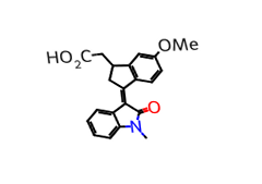 COc1ccc2c(c1)C(CC(=O)O)C/C2=C1/C(=O)N(C)c2ccccc21